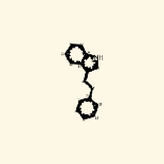 c1ccc(CCc2c[nH]c3ccccc23)cc1